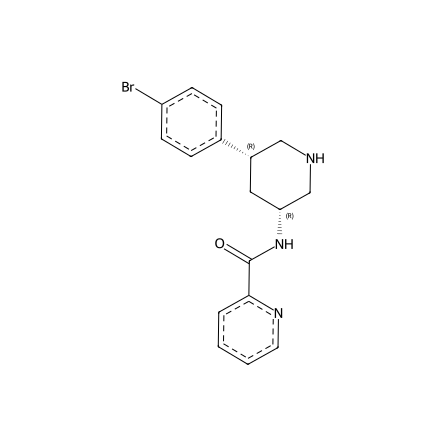 O=C(N[C@H]1CNC[C@@H](c2ccc(Br)cc2)C1)c1ccccn1